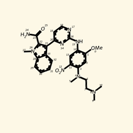 COc1cc(N(C)CCN(C)C)c([N+](=O)[O-])cc1Nc1nccc(-c2c(C(N)=O)n(C)c3ccccc23)n1